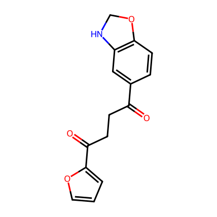 O=C(CCC(=O)c1ccco1)c1ccc2c(c1)NCO2